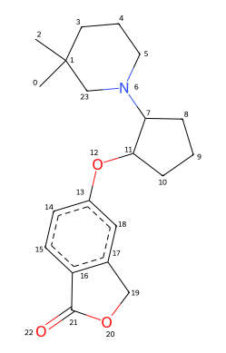 CC1(C)CCCN(C2CCCC2Oc2ccc3c(c2)COC3=O)C1